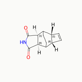 O=C1NC(=O)[C@H]2C3CCC([C@H]4C=C[C@@H]34)[C@@H]12